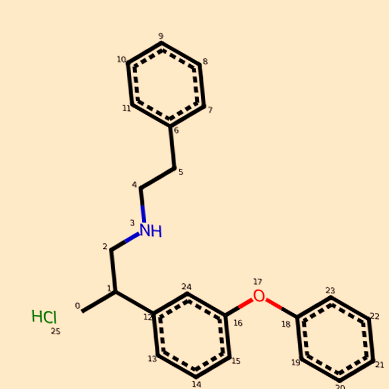 CC(CNCCc1ccccc1)c1cccc(Oc2ccccc2)c1.Cl